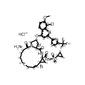 COc1ccc2c(O[C@@H]3C[C@H]4C(=O)N[C@]5(C(=O)NS(=O)(=O)C6CC6)C[C@H]5/C=C\CCCCC[C@H](N)C(=O)N4C3)cc(-c3nc(C(F)(F)F)cs3)nc2c1Cl.Cl